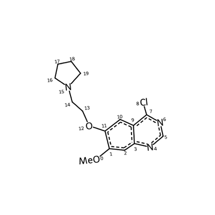 COc1cc2ncnc(Cl)c2cc1OCCN1CCCC1